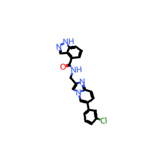 O=C(NCc1cn2cc(-c3cccc(Cl)c3)ccc2n1)c1cccc2[nH]ncc12